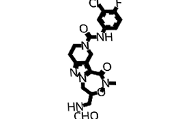 CN1OC(CNC=O)Cn2nc3c(c2C1=O)CN(C(=O)Nc1ccc(F)c(Cl)c1)CC3